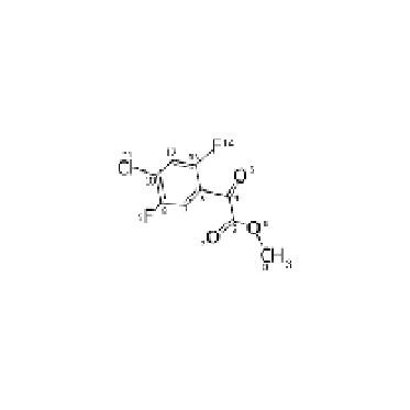 COC(=O)C(=O)c1cc(F)c(Cl)cc1F